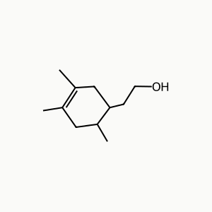 CC1=C(C)CC(CCO)C(C)C1